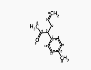 C=CCC(C(C)=O)c1ccc(C)cc1